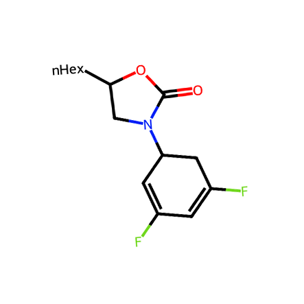 CCCCCCC1CN(C2C=C(F)C=C(F)C2)C(=O)O1